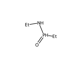 CCN[PH](=O)CC